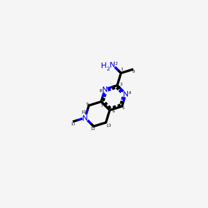 CC(N)c1ncc2c(n1)CN(C)CC2